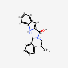 CCCN(Cc1ccccc1)C(=O)c1cc2ccccc2[nH]1